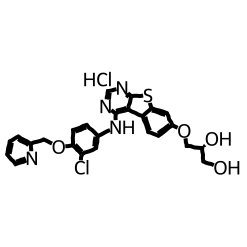 Cl.OC[C@H](O)COc1ccc2c(c1)sc1ncnc(Nc3ccc(OCc4ccccn4)c(Cl)c3)c12